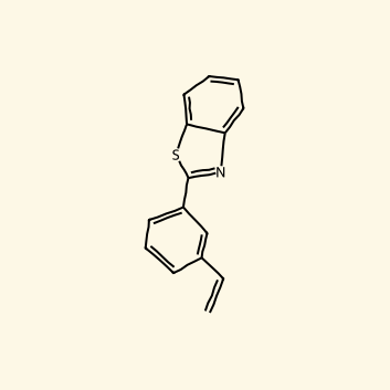 C=Cc1cccc(-c2nc3ccccc3s2)c1